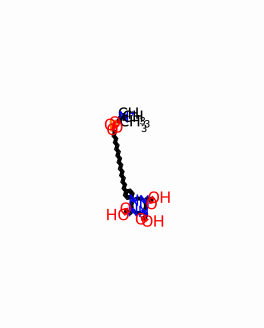 C[N+](C)(C)CCOP(=O)([O-])OCCCCCCCCCCCCCCCCCCc1ccc(N2CCN(CC(=O)O)CCN(CC(=O)O)CCN(CC(=O)O)CC2)cc1